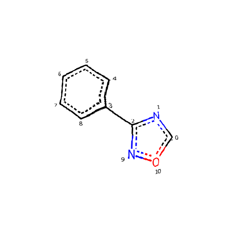 [c]1nc(-c2ccccc2)no1